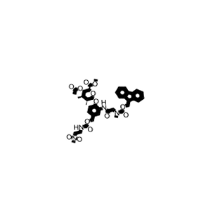 COC(=O)[C@H]1O[C@@H](Oc2ccc(COC(=O)NCCS(C)(=O)=O)cc2NC(=O)CN(C)C(=O)OCC2c3ccccc3-c3ccccc32)[C@H](C)[C@@H](C)[C@@H]1OC(C)=O